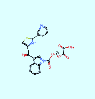 COC(=O)n1cc(C(=O)C2=CSC(c3cccnc3)N2)c2ccccc21.O=C(O)C(=O)O